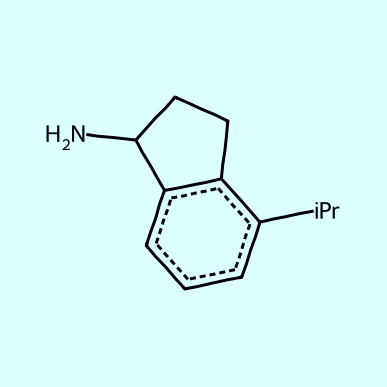 CC(C)c1cccc2c1CCC2N